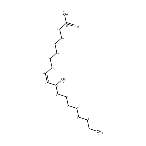 CCCCCCCCC(O)/C=C\CCCCCCC(=O)O